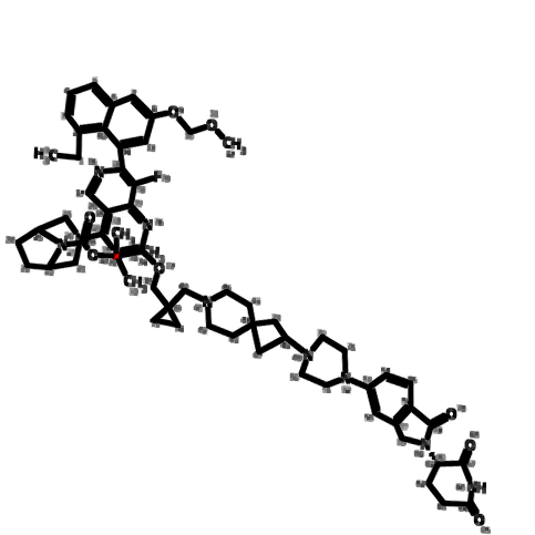 CCc1cccc2cc(OCOC)cc(-c3ncc4c(N5CC6CCC(C5)N6C(=O)OC(C)(C)C)nc(OCC5(CN6CCC7(CC6)CC(N6CCN(c8ccc9c(c8)CN([C@H]8CCC(=O)NC8=O)C9=O)CC6)C7)CC5)nc4c3F)c12